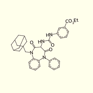 CCOC(=O)c1cccc(NC(=O)NC2C(=O)N(CC34CC5CC(CC(C5)C3)C4)c3ccccc3N(c3ccccc3)C2=O)c1